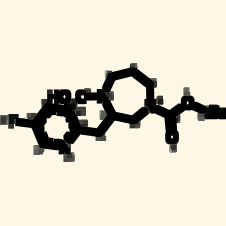 CC(C)(C)OC(=O)N1CCCN(C(=O)O)C(Cc2ncc(F)cn2)C1